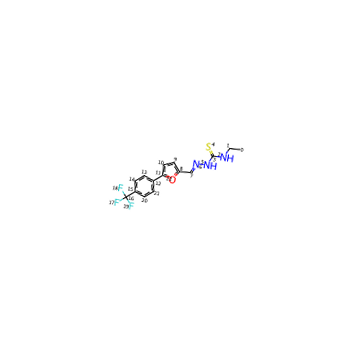 CCNC(=S)N/N=C/c1ccc(-c2ccc(C(F)(F)F)cc2)o1